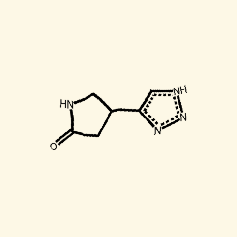 O=C1CC(c2c[nH]nn2)CN1